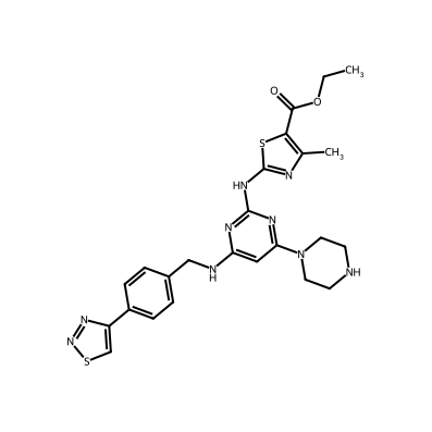 CCOC(=O)c1sc(Nc2nc(NCc3ccc(-c4csnn4)cc3)cc(N3CCNCC3)n2)nc1C